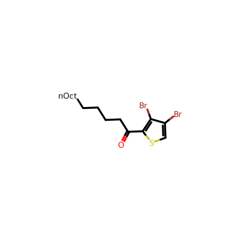 CCCCCCCCCCCCC(=O)c1scc(Br)c1Br